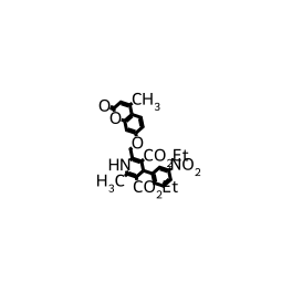 CCOC(=O)C1=C(C)NC(COc2ccc3c(C)cc(=O)oc3c2)=C(C(=O)OCC)C1c1cccc([N+](=O)[O-])c1